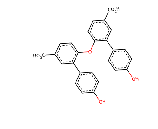 O=C(O)c1ccc(Oc2ccc(C(=O)O)cc2-c2ccc(O)cc2)c(-c2ccc(O)cc2)c1